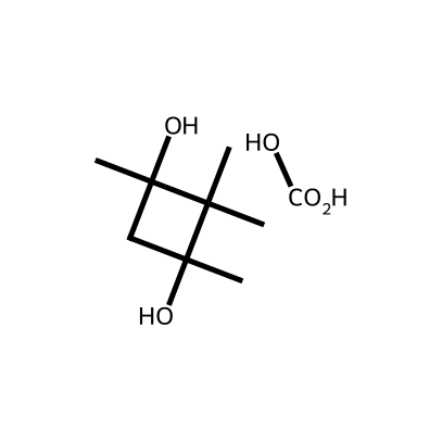 CC1(O)CC(C)(O)C1(C)C.O=C(O)O